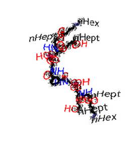 CCCCCC/C=C/CCCC(=O)O[C@H](CCCCCCC)CC(=O)NC(COCC[C@H](O)CCCCCCC)COP(=O)(O)OCCNC(=O)c1cccc(C(=O)NCCOP(=O)(O)OCC(COCC[C@H](O)CCCCCCC)NC(=O)C[C@@H](CCCCCCC)OC(=O)CCC/C=C/CCCCCC)c1